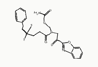 NC(=O)OCN(CC(=O)c1nc2ccccc2o1)C(=O)[CH]CC(F)(F)Cc1ccccc1